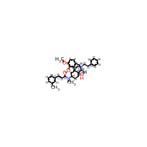 COc1ccc2c3c1OC1C(N(C)C(=O)/C=C/c4cccc(C)c4)CC[C@@]4(O)[C@@H](C2)N(CCc2ccccc2)CC[C@]314